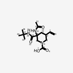 C=CC1CN(C(=O)O)CC(NC(C)=O)(C(=O)NC(C)(C)C)C1